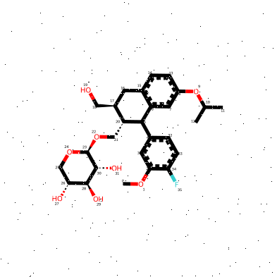 COc1cc(C2c3cc(OC(C)C)ccc3C[C@H](CO)[C@H]2CO[C@@H]2OC[C@@H](O)[C@H](O)[C@H]2O)ccc1F